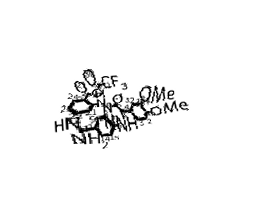 COc1ccc(C(Nc2ccc(C(=N)N)cc2)C(=O)NNc2ccccc2C(=O)OC(=O)C(F)(F)F)cc1OC